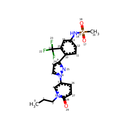 CCCn1cc(-n2ccc(-c3ccc(NS(C)(=O)=O)cc3C(F)(F)F)n2)ccc1=O